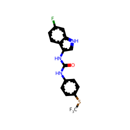 O=C(Nc1ccc(SC(F)(F)F)cc1)Nc1c[nH]c2cc(F)ccc12